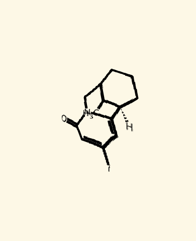 CC1C2CCC[C@H]1c1cc(I)cc(=O)n1C2